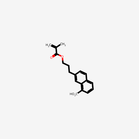 C=C(C)C(=O)OCCCc1ccc2cccc(C(=O)O)c2c1